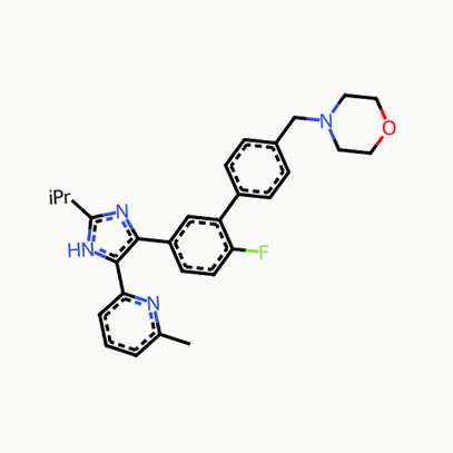 Cc1cccc(-c2[nH]c(C(C)C)nc2-c2ccc(F)c(-c3ccc(CN4CCOCC4)cc3)c2)n1